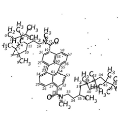 C=CC(C)(CC1(C)CC1(C)CC(C)CCN(C)C(=O)c1ccc2c3cccc4c(C(=O)N(C)CCC(C)CC5(C)CCC5(C)CC(C)(C)C(C)(C)C)ccc(c5cccc1c52)c43)C(C)C